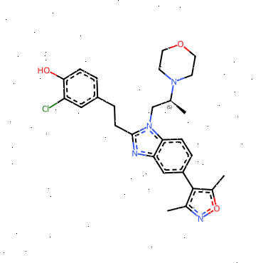 Cc1noc(C)c1-c1ccc2c(c1)nc(CCc1ccc(O)c(Cl)c1)n2C[C@H](C)N1CCOCC1